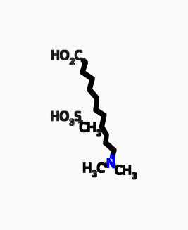 CN(C)CCCCCCCCCCCC(=O)O.CS(=O)(=O)O